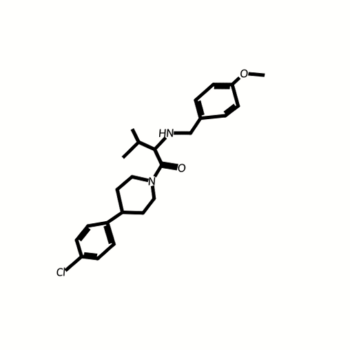 COc1ccc(CNC(C(=O)N2CCC(c3ccc(Cl)cc3)CC2)C(C)C)cc1